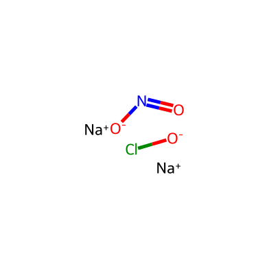 O=N[O-].[Na+].[Na+].[O-]Cl